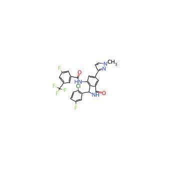 Cn1ccc(-c2cc(NC(=O)c3cc(F)cc(C(F)(F)F)c3)c3c(c2)C(=O)NC3c2cc(F)ccc2Cl)n1